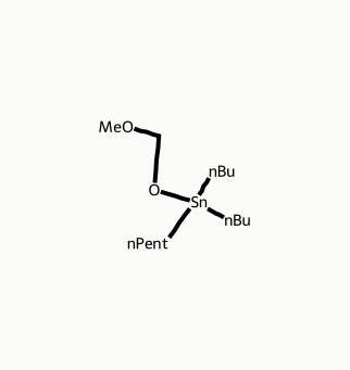 CCCC[CH2][Sn]([CH2]CCC)([CH2]CCC)[O]COC